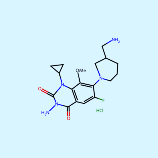 COc1c(N2CCCC(CN)C2)c(F)cc2c(=O)n(N)c(=O)n(C3CC3)c12.Cl